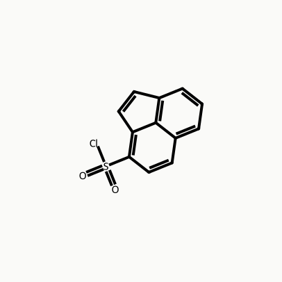 O=S(=O)(Cl)c1ccc2cccc3c2c1C=C3